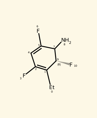 CCC1=C(F)C=C(F)C(N)[C@@H]1F